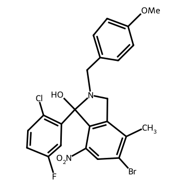 COc1ccc(CN2Cc3c(C)c(Br)cc([N+](=O)[O-])c3C2(O)c2cc(F)ccc2Cl)cc1